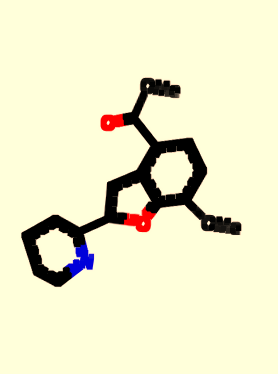 COC(=O)c1ccc(OC)c2oc(-c3ccccn3)cc12